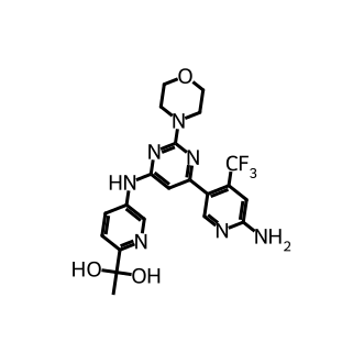 CC(O)(O)c1ccc(Nc2cc(-c3cnc(N)cc3C(F)(F)F)nc(N3CCOCC3)n2)cn1